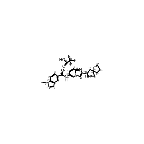 Cn1ncc2cc(C(=O)Nc3ccc4nc([C@H]5CC6(CCCC6)CN5)cn4c3)ccc21.O=C(O)C(F)(F)F